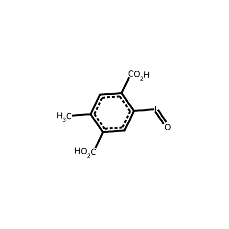 Cc1cc(C(=O)O)c(I=O)cc1C(=O)O